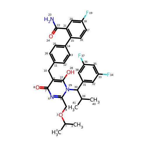 CC(C)OCc1nc(=O)c(Cc2ccc(-c3ccc(F)cc3C(N)=O)cc2)c(O)n1C(c1cc(F)cc(F)c1)C(C)C